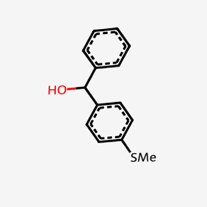 CSc1ccc(C(O)c2ccccc2)cc1